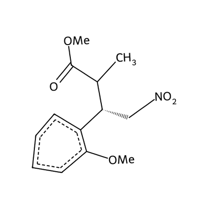 COC(=O)C(C)[C@H](C[N+](=O)[O-])c1ccccc1OC